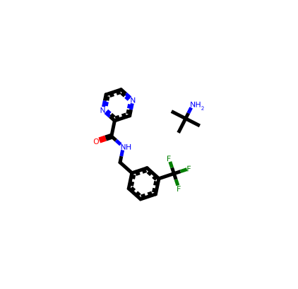 CC(C)(C)N.O=C(NCc1cccc(C(F)(F)F)c1)c1cnccn1